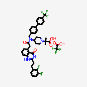 CC(C)(C(=O)O)N1CCC(N(Cc2ccc(-c3ccc(C(F)(F)F)cc3)cc2)C(=O)Cc2cccc3[nH]c(CCc4cccc(F)c4F)nc(=O)c23)CC1.O=C(O)C(F)(F)F